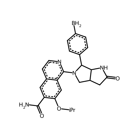 Bc1ccc(C2C3NC(=O)CC3CN2c2nccc3cc(C(N)=O)c(OC(C)C)cc23)cc1